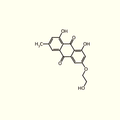 Cc1cc(O)c2c(c1)C(=O)c1cc(OCCO)cc(O)c1C2=O